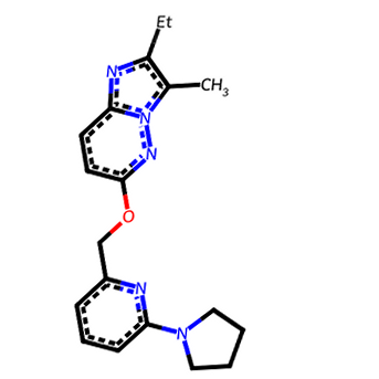 CCc1nc2ccc(OCc3cccc(N4CCCC4)n3)nn2c1C